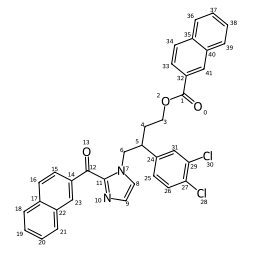 O=C(OCCC(Cn1ccnc1C(=O)c1ccc2ccccc2c1)c1ccc(Cl)c(Cl)c1)c1ccc2ccccc2c1